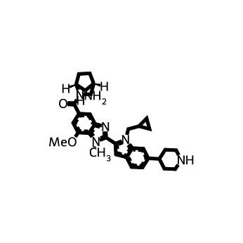 COc1cc(C(=O)N2C[C@H]3CC[C@@H]2[C@@H]3N)cc2nc(-c3cc4ccc(C5CCNCC5)cc4n3CC3CC3)n(C)c12